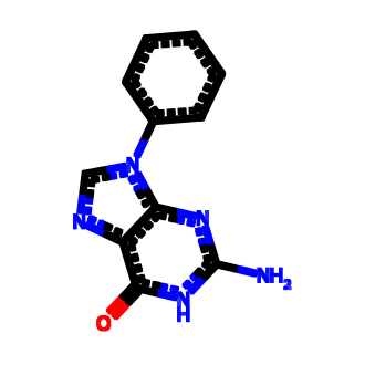 Nc1nc2c(ncn2-c2ccccc2)c(=O)[nH]1